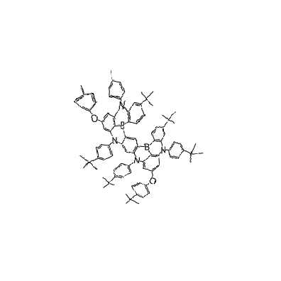 Cc1ccc(Oc2cc3c4c(c2)N(c2ccc(C(C)(C)C)cc2)c2cc5c(cc2B4c2ccc(C(C)(C)C)cc2N3c2ccc(C)cc2)B2c3ccc(C(C)(C)C)cc3N(c3ccc(C(C)(C)C)cc3)c3cc(Oc4ccc(C(C)(C)C)cc4)cc(c32)N5c2ccc(C(C)(C)C)cc2)cc1